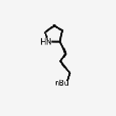 CCCCCCCC1CCCN1